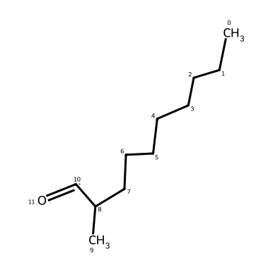 CCCCCCCCC(C)[C]=O